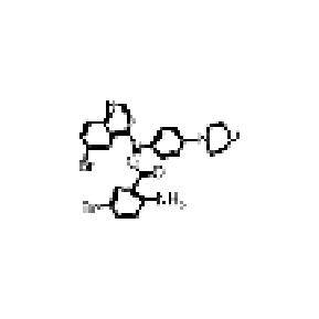 Nc1ccc(Br)cc1C(=O)ON(c1ccc(N2CCOCC2)cc1)c1ncnc2ccc(Br)cc12